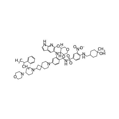 CC(C)c1ccccc1[C@H]1C[C@@H](N2CCOCC2)CCN1C1CC2(CCN(c3ccc(C(=O)NS(=O)(=O)c4ccc(NCC5CCC(C)(O)CC5)c([N+](=O)[O-])c4)c(N4c5cc6cc[nH]c6nc5O[C@H]5COCC[C@@H]54)c3)CC2)C1